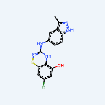 Cc1n[nH]c2ccc(NC3=NSc4cc(Cl)cc(O)c4N3)cc12